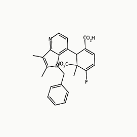 Cc1c(C)n(Cc2ccccc2)c2c(C3C(C(=O)O)=CC=C(F)C3(C)C(=O)O)ccnc12